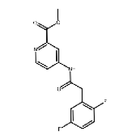 COC(=O)c1cc(NC(=O)Cc2cc(F)ccc2F)ccn1